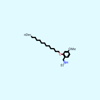 CCCCCCCCCCCCCCCCCCCCCCOc1cc(OC)ccc1CNCC